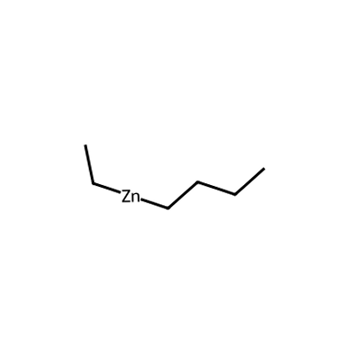 CCC[CH2][Zn][CH2]C